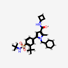 Cc1c(C(=O)NC2CCC2)cc(-c2ccc(S(=O)(=O)NC(C)(C)C)c(C(C)(C)C)c2)n1CC1CCCCC1